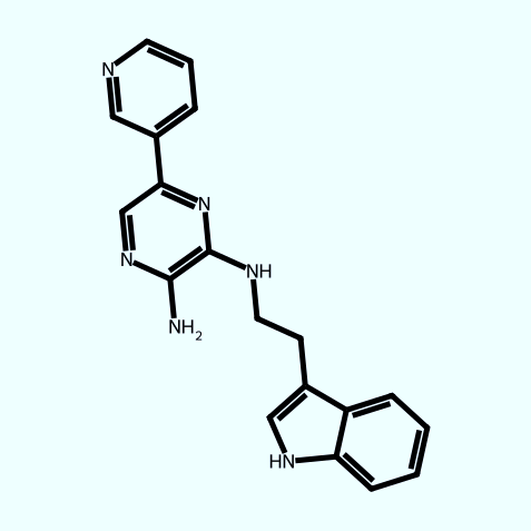 Nc1ncc(-c2cccnc2)nc1NCCc1c[nH]c2ccccc12